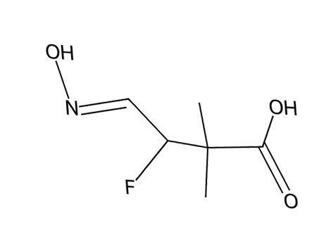 CC(C)(C(=O)O)C(F)C=NO